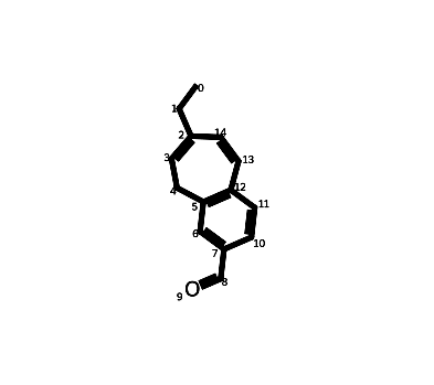 CCC1=CCc2cc(C=O)ccc2C=C1